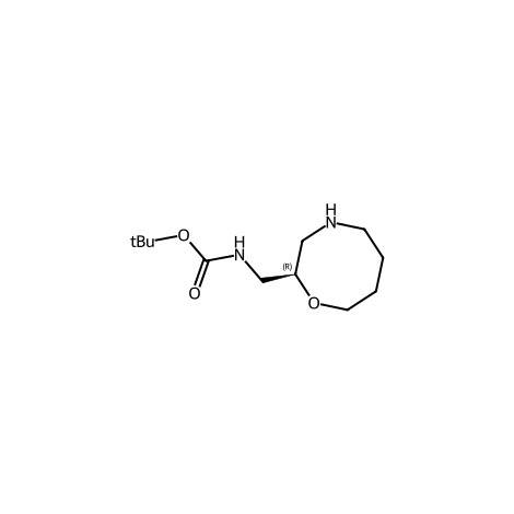 CC(C)(C)OC(=O)NC[C@H]1CNCCCCO1